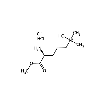 COC(=O)[C@@H](N)CCC[N+](C)(C)C.Cl.[Cl-]